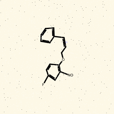 O=Nc1cc(F)ccc1OC/C=C\c1ccccc1